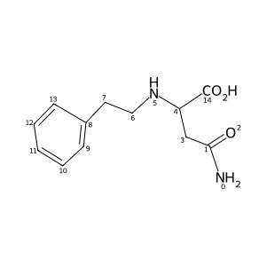 NC(=O)CC(NCCc1ccccc1)C(=O)O